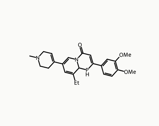 CCC1=CC(C2=CCN(C)CC2)=CN2C(=O)C=C(c3ccc(OC)c(OC)c3)PC12